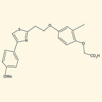 COc1ccc(-c2csc(CCOc3ccc(OCC(=O)O)c(C)c3)n2)cc1